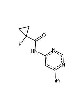 CC(C)c1cc(NC(=O)C2(F)CC2)ncn1